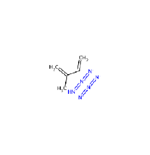 C=CC(=C)C.[N-]=[N+]=N.[N-]=[N+]=[N-]